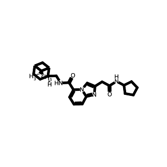 CC1(C)C2CC[C@H](CNC(=O)c3cccc4nc(CC(=O)NC5CCCC5)cn34)C1C2